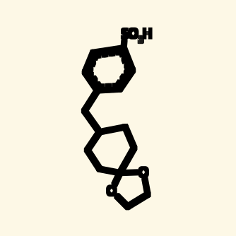 O=S(=O)(O)c1ccc(CC2CCC3(CC2)OCCO3)cc1